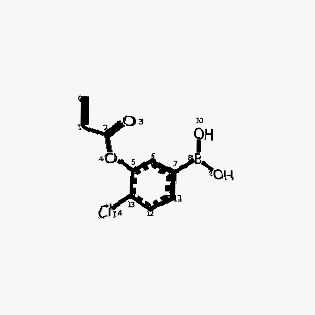 C=CC(=O)Oc1cc(B(O)O)ccc1Cl